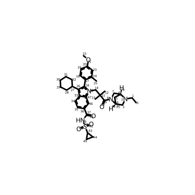 CCN1C[C@H]2C[C@@H]1CN2C(=O)C(C)(C)Cn1c(-c2ccc(OC)cc2C)c(C2CCCCC2)c2ccc(C(=O)NS(=O)(=O)C3CC3)cc21